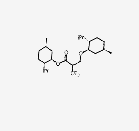 CC(C)[C@@H]1CC[C@@H](C)C[C@H]1OCC(C(=O)O[C@@H]1C[C@H](C)CC[C@H]1C(C)C)C(F)(F)F